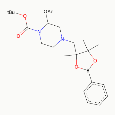 CC(=O)OC1CN(CC2(C)OB(c3ccccc3)OC2(C)C)CCN1C(=O)OC(C)(C)C